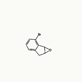 Brc1cccc2c1C1OC1C2